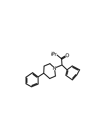 CC(C)C(=O)C(c1ccccc1)N1CCC(c2ccccc2)CC1